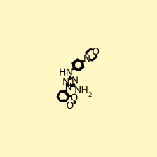 Nc1nc(Nc2ccc(N3CCOCC3)cc2)nn1C1=C2OCOC2=CCC1